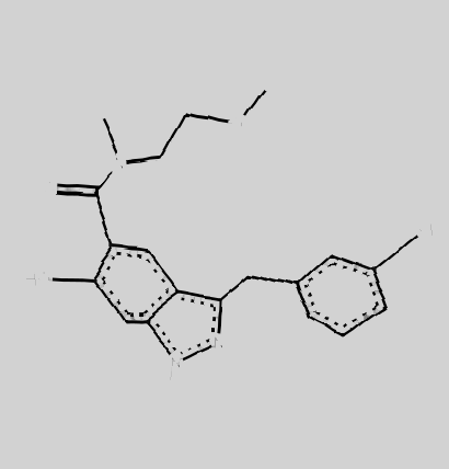 COCCN(C)C(=O)c1cc2c(Cc3cccc(Cl)c3)n[nH]c2cc1O